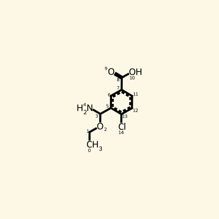 CCOC(N)c1cc(C(=O)O)ccc1Cl